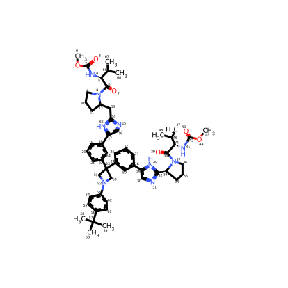 COC(=O)N[C@H](C(=O)N1CCCC1Cc1ncc(-c2cccc(C3(c4cccc(-c5cnc([C@@H]6CCCN6C(=O)[C@@H](NC(=O)OC)C(C)C)[nH]5)c4)CN(c4ccc(C(C)(C)C)cc4)C3)c2)[nH]1)C(C)C